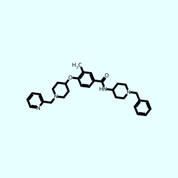 Cc1cc(C(=O)NC2CCN(Cc3ccccc3)CC2)ccc1OC1CCN(Cc2ccccn2)CC1